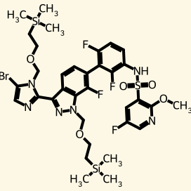 COc1ncc(F)cc1S(=O)(=O)Nc1ccc(F)c(-c2ccc3c(-c4ncc(Br)n4COCC[Si](C)(C)C)nn(COCC[Si](C)(C)C)c3c2F)c1F